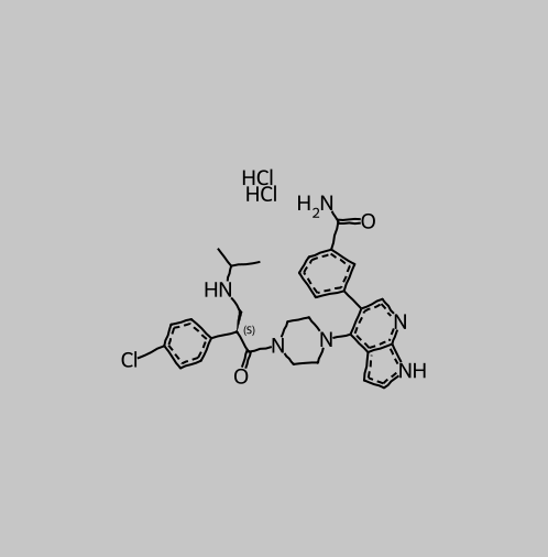 CC(C)NC[C@@H](C(=O)N1CCN(c2c(-c3cccc(C(N)=O)c3)cnc3[nH]ccc23)CC1)c1ccc(Cl)cc1.Cl.Cl